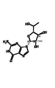 CC(O)C1O[C@@H](n2cnc3c(=O)[nH]c(N)nc32)[C@](C)(O)[C@@H]1O